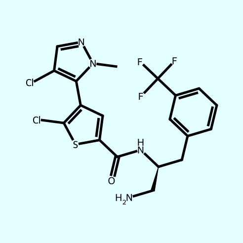 Cn1ncc(Cl)c1-c1cc(C(=O)N[C@H](CN)Cc2cccc(C(F)(F)F)c2)sc1Cl